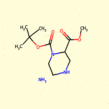 COC(=O)C1CNCCN1C(=O)OC(C)(C)C.N